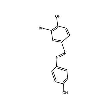 Oc1ccc(N=Nc2ccc(O)c(Br)c2)cc1